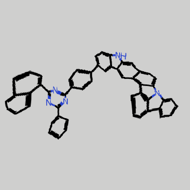 c1ccc(-c2nc(-c3ccc(-c4ccc5[nH]c6cc7ccc8c(c7cc6c5c4)c4cccc5c6ccccc6n8c54)cc3)nc(-c3cccc4ccccc34)n2)cc1